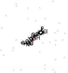 COCc1nnc([C@@]23CCC(NC(=O)COc4ccc(Cl)c(F)c4)(CC2=O)C3)o1